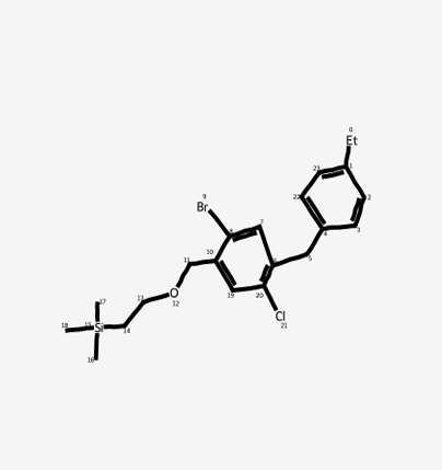 CCc1ccc(Cc2cc(Br)c(COCC[Si](C)(C)C)cc2Cl)cc1